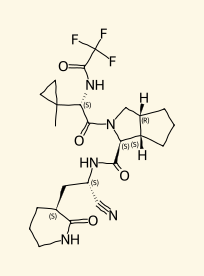 CC1([C@H](NC(=O)C(F)(F)F)C(=O)N2C[C@@H]3CCC[C@@H]3[C@H]2C(=O)N[C@H](C#N)C[C@@H]2CCCNC2=O)CC1